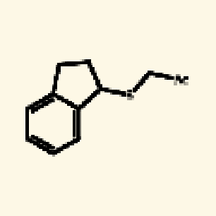 CC(=O)CSC1CCc2ccccc21